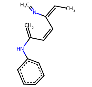 C=NC(/C=C\C(=C)Nc1ccccc1)=C/C